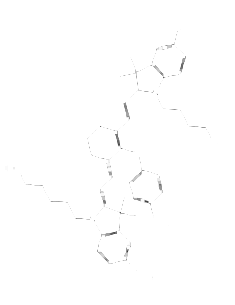 CC1(C)/C(=C\C=C2/CCCC(/C=C/C3N(CCCCS(=O)(=O)O)c4ccc(S(=O)(=O)O)cc4C3(C)C)=C2Oc2ccc(S(=O)(=O)O)cc2)N(CCCCCC=O)c2ccc(S(=O)(=O)O)cc21